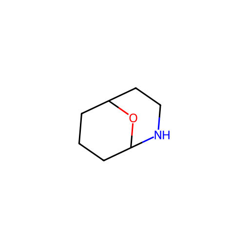 C1CC2CCNC(C1)O2